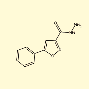 NNC(=O)c1cc(-c2ccccc2)on1